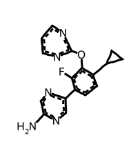 Nc1cnc(-c2ccc(C3CC3)c(Oc3ncccn3)c2F)cn1